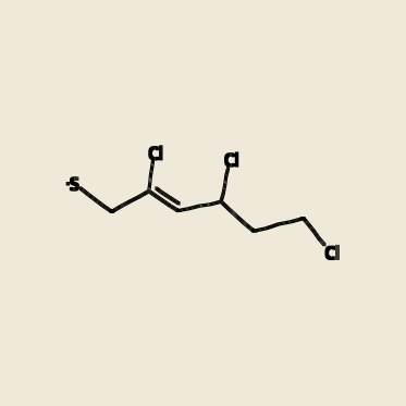 [S]CC(Cl)=CC(Cl)CCCl